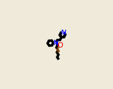 CCCCSCC(=O)N(CCc1ccncc1)C1CCCCC1